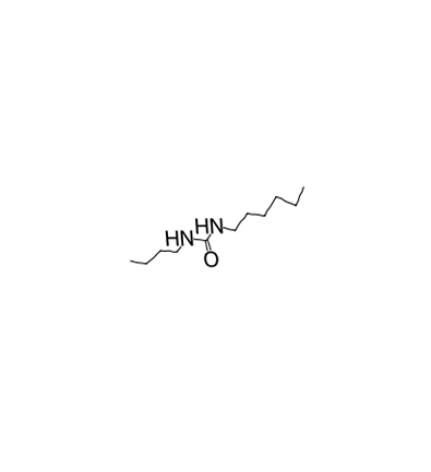 CCCCCCNC(=O)NCCCC